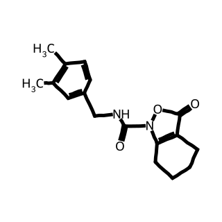 Cc1ccc(CNC(=O)n2oc(=O)c3c2CCCC3)cc1C